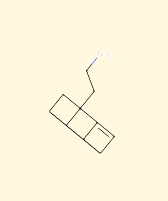 NCCC12CC3C4C=C1C4C32